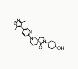 Cc1noc(C)c1-c1ccc(N2CCC[C@]3(CCN([C@H]4CC[C@H](O)CC4)C3=O)C2)nc1